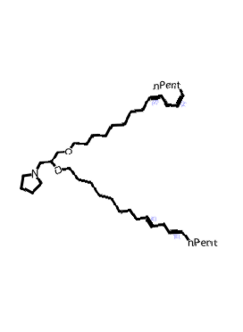 CCCCC/C=C\C/C=C\CCCCCCCCOCC(CN1CCCC1)OCCCCCCCC/C=C/C/C=C/CCCCC